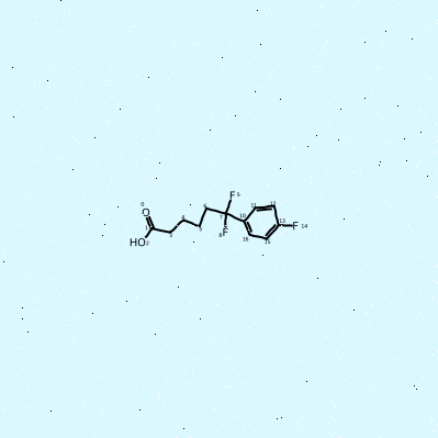 O=C(O)CCCCC(F)(F)c1ccc(F)cc1